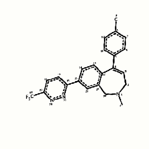 CN1CC=C(c2ccc(Cl)cc2)c2ccc(-c3ccc(C(F)(F)F)nn3)cc2C1